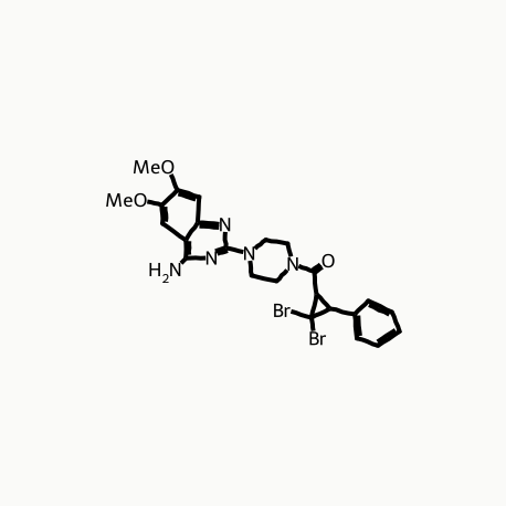 COc1cc2nc(N3CCN(C(=O)C4C(c5ccccc5)C4(Br)Br)CC3)nc(N)c2cc1OC